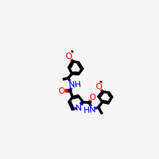 COc1cccc(C(C)NC(=O)c2ccnc(C(=O)NC(C)c3cccc(OC)c3)c2)c1